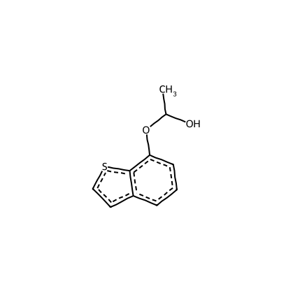 CC(O)Oc1cccc2ccsc12